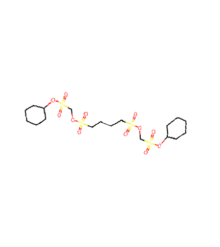 O=S(=O)(CCCCS(=O)(=O)OCS(=O)(=O)OC1CCCCC1)OCS(=O)(=O)OC1CCCCC1